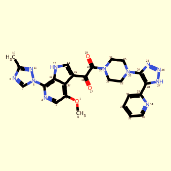 COc1cnc(-n2cnc(C)n2)c2[nH]cc(C(=O)C(=O)N3CCN(c4nn[nH]c4-c4ccccn4)CC3)c12